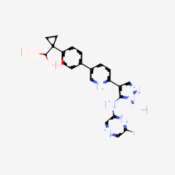 Cn1ncc(-c2ccc(-c3ccc(C4(C(O)O)CC4)cc3)cn2)c1Nc1cncc(Cl)n1